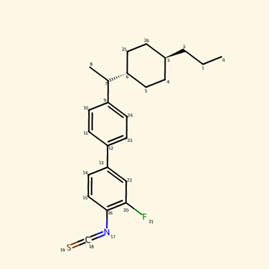 CCC[C@H]1CC[C@H](C(C)c2ccc(-c3ccc(N=C=S)c(F)c3)cc2)CC1